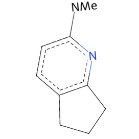 CNc1ccc2c(n1)CCC2